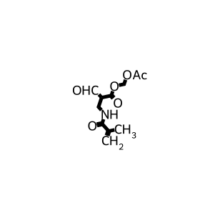 C=C(C)C(=O)NCC(C=O)C(=O)OCOC(C)=O